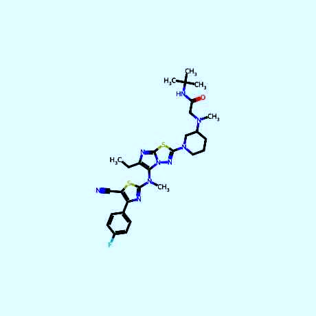 CCc1nc2sc(N3CCCC(N(C)CC(=O)NC(C)(C)C)C3)nn2c1N(C)c1nc(-c2ccc(F)cc2)c(C#N)s1